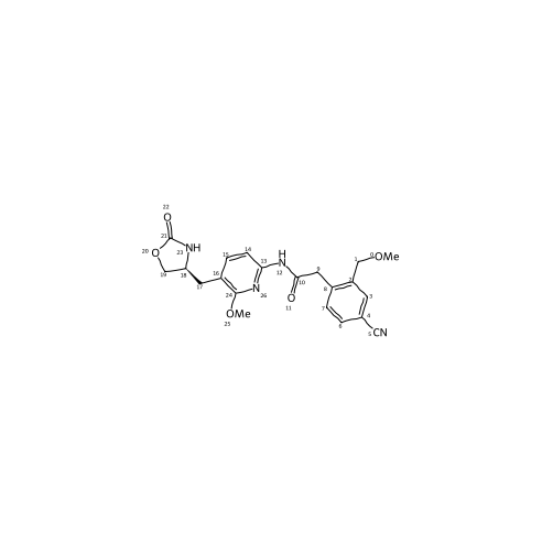 COCc1cc(C#N)ccc1CC(=O)Nc1ccc(C[C@H]2COC(=O)N2)c(OC)n1